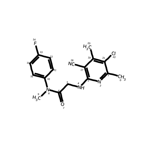 Cc1nc(NCC(=O)N(C)c2ccc(F)cc2)c(C#N)c(C)c1Cl